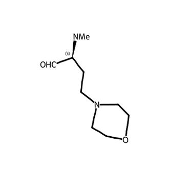 CN[C@H](C=O)CCN1CCOCC1